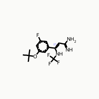 CC(C)(C)Oc1cc(F)cc(/C(=C/C(=N)N)NC(F)(F)F)c1